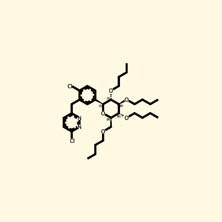 CCCCOC[C@H]1O[C@@H](c2ccc(Cl)c(Cc3ccc(Cl)nn3)c2)[C@H](OCCCC)[C@@H](OCCCC)[C@@H]1OCCCC